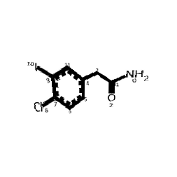 NC(=O)Cc1ccc(Cl)c(I)c1